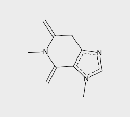 C=C1Cc2ncn(C)c2C(=C)N1C